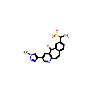 CC(c1ccc2ccc3ncc(-c4cnn(C)c4)cc3c(=O)c2c1)[SH](=O)=O